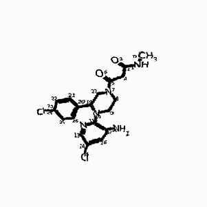 CNC(=O)CC(=O)N1CCN(c2ncc(Cl)cc2N)C(c2ccc(Cl)cc2)C1